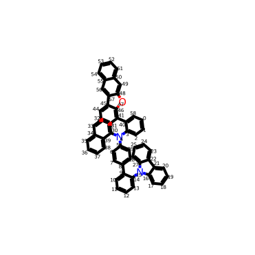 c1ccc(N(c2ccc(-c3ccccc3-n3c4ccccc4c4ccccc43)cc2)c2cccc3ccccc23)c(-c2cccc3c2oc2cc4ccccc4cc23)c1